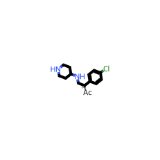 CC(=O)[C@H](CNC1CCNCC1)c1ccc(Cl)cc1